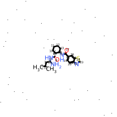 CC(C)C[C@@H](N)NC(=O)[C@@H]1CCCC[C@@H]1NC(=O)c1ccc2ncsc2c1